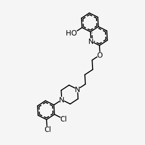 Oc1cccc2ccc(OCCCCN3CCN(c4cccc(Cl)c4Cl)CC3)nc12